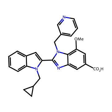 COc1cc(C(=O)O)cc2nc(-c3cc4ccccc4n3CC3CC3)n(Cc3cccnc3)c12